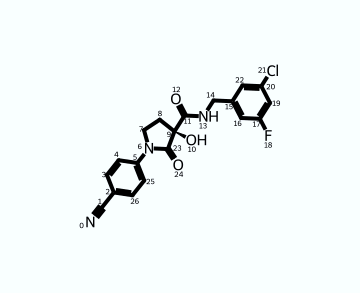 N#Cc1ccc(N2CC[C@](O)(C(=O)NCc3cc(F)cc(Cl)c3)C2=O)cc1